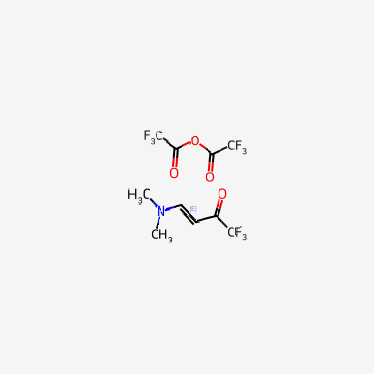 CN(C)/C=C/C(=O)C(F)(F)F.O=C(OC(=O)C(F)(F)F)C(F)(F)F